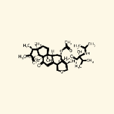 CC(=O)O[C@@H]1C[C@@]23COC[C@](C)([C@@H]2CC[C@H]2C3=CC(=O)[C@@]3(C)[C@H](C(=O)O)[C@@](C)([C@H](C)C(C)C)CC[C@]23C)[C@H]1OC[C@@](C)(NC(C)C)C(C)C